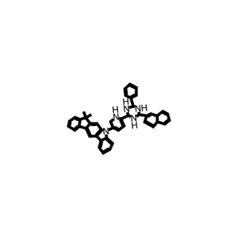 CC1(C)c2ccccc2-c2cc3c4ccccc4n(C4=CC=C(C5NC(C6=CC7C=CC=CC7C=C6)NC(c6ccccc6)N5)NC4)c3cc21